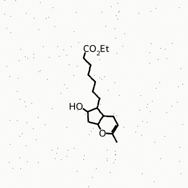 CCOC(=O)CCCCCCC1C(O)CC2OC(C)=CCC21